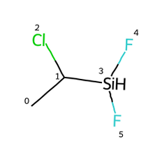 CC(Cl)[SiH](F)F